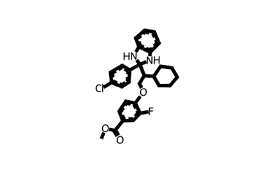 COC(=O)c1ccc(OCC(C2CCCCC2)C2(c3ccc(Cl)cc3)Nc3ccccc3N2)c(F)c1